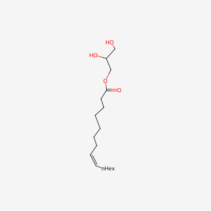 CCCCCC/C=C\CCCCCCC(=O)OCC(O)CO